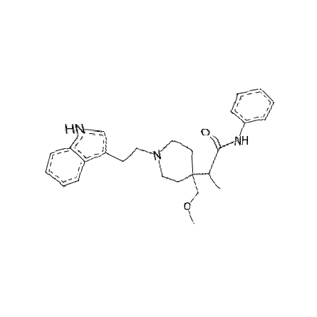 COCC1(C(C)C(=O)Nc2ccccc2)CCN(CCc2c[nH]c3ccccc23)CC1